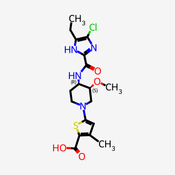 CCc1[nH]c(C(=O)N[C@@H]2CCN(c3cc(C)c(C(=O)O)s3)C[C@@H]2OC)nc1Cl